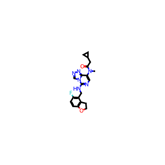 CN(C(=O)CC1CC1)c1cnc(NCc2c(F)ccc3c2CCO3)n2cnnc12